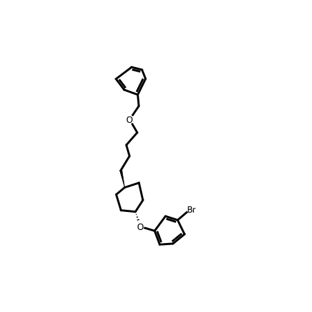 Brc1cccc(O[C@H]2CC[C@H](CCCCOCc3ccccc3)CC2)c1